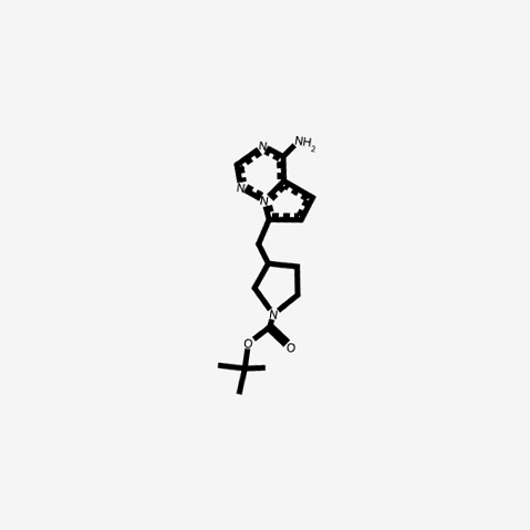 CC(C)(C)OC(=O)N1CCC(Cc2ccc3c(N)ncnn23)C1